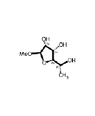 COC1O[C@H]([C@@H](C)O)[C@@H](O)[C@H]1O